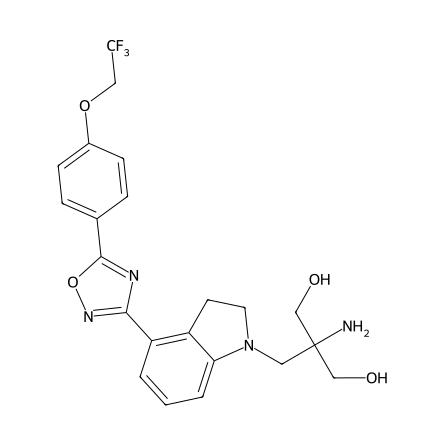 NC(CO)(CO)CN1CCc2c(-c3noc(-c4ccc(OCC(F)(F)F)cc4)n3)cccc21